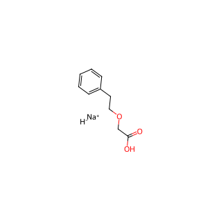 O=C(O)COCCc1ccccc1.[H-].[Na+]